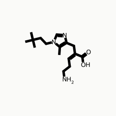 Cc1c(C/C(=C/CCN)C(=O)O)ncn1CCC(C)(C)C